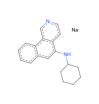 [Na].c1ccc2c(c1)cc(NC1CCCCC1)c1ccncc12